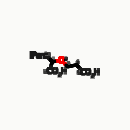 CCCC(C)C(OCCC(=O)O)C(=O)O